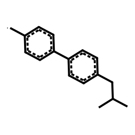 [CH2]c1ccc(-c2ccc(CC(C)C)cc2)cc1